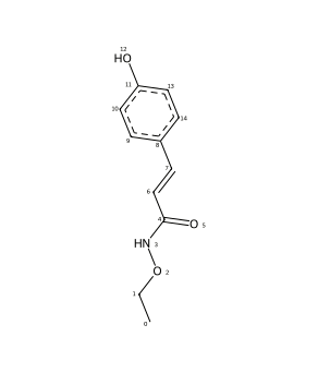 CCONC(=O)C=Cc1ccc(O)cc1